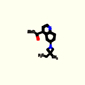 COC(=O)c1ccnc2ccc(N3CC(C)(CC(F)(F)F)C3)cc12